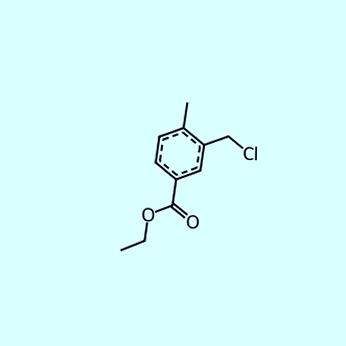 CCOC(=O)c1ccc(C)c(CCl)c1